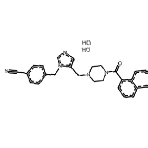 Cl.Cl.N#Cc1ccc(Cn2cncc2CN2CCN(C(=O)c3cccc4ccccc34)CC2)cc1